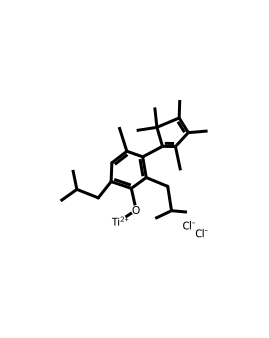 CC1=C(C)C(C)(C)C(c2c(C)cc(CC(C)C)c([O][Ti+2])c2CC(C)C)=C1C.[Cl-].[Cl-]